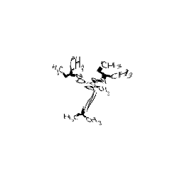 CC/C(C)=N\O[Si](C)(O/N=C(/C)CC)O/N=C(/C)CC